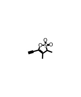 C#CC1=C(C)C(C)S(=O)(=O)O1